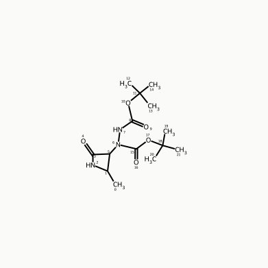 CC1NC(=O)C1N(NC(=O)OC(C)(C)C)C(=O)OC(C)(C)C